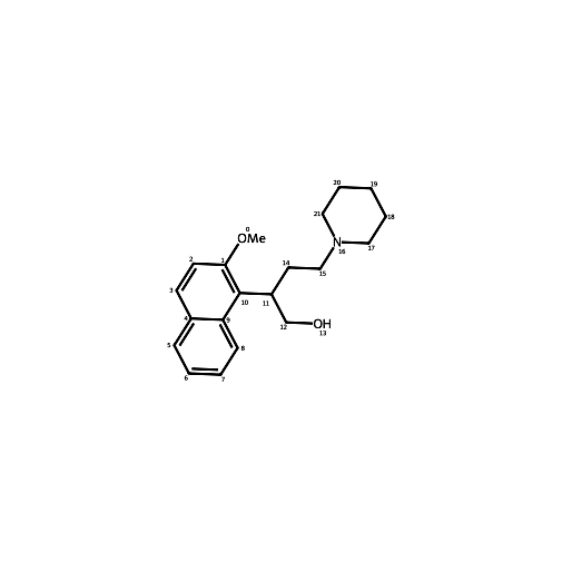 COc1ccc2ccccc2c1C(CO)CCN1CCCCC1